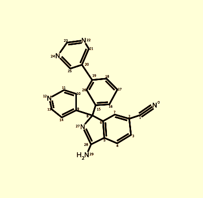 N#Cc1ccc2c(c1)C(c1ccncc1)(c1cccc(-c3cncnc3)c1)N=C2N